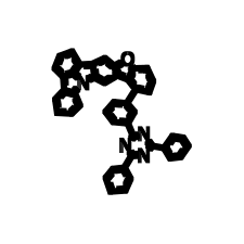 c1ccc(-c2nc(-c3ccccc3)nc(-c3cccc(-c4cccc5oc6cc7c8cccc9c%10ccccc%10n(c7cc6c45)c98)c3)n2)cc1